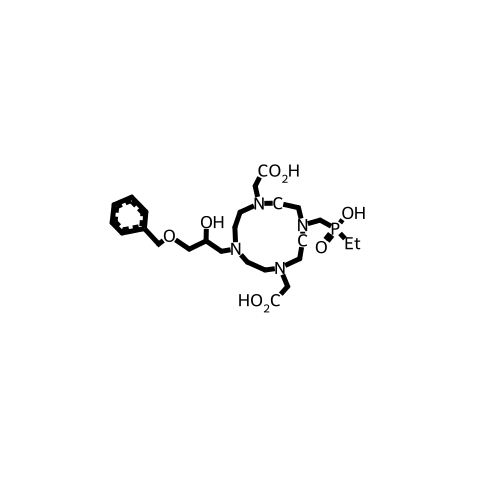 CCP(=O)(O)CN1CCN(CC(=O)O)CCN(CC(O)COCc2ccccc2)CCN(CC(=O)O)CC1